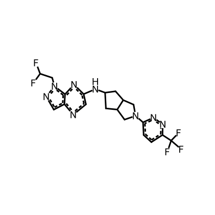 FC(F)Cn1ncc2ncc(NC3CC4CN(c5ccc(C(F)(F)F)nn5)CC4C3)nc21